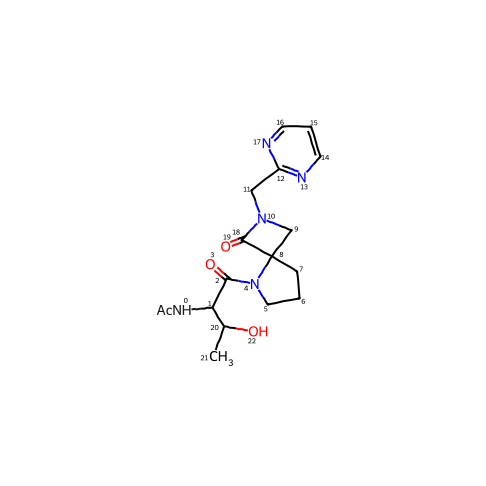 CC(=O)NC(C(=O)N1CCCC12CN(Cc1ncccn1)C2=O)C(C)O